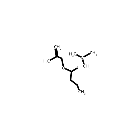 C=C(C)COC(I)CCC.CN(C)C